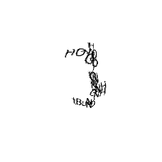 CC(C)(C)c1noc(CCNC(=O)Nc2cn3cc(-c4cccc(S(=O)(=O)NCCO)c4)ccc3n2)n1